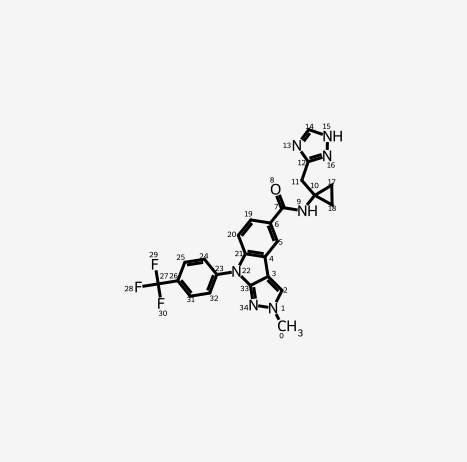 Cn1cc2c3cc(C(=O)NC4(Cc5nc[nH]n5)CC4)ccc3n(-c3ccc(C(F)(F)F)cc3)c2n1